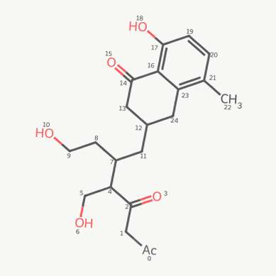 CC(=O)CC(=O)C(CO)C(CCO)CC1CC(=O)c2c(O)ccc(C)c2C1